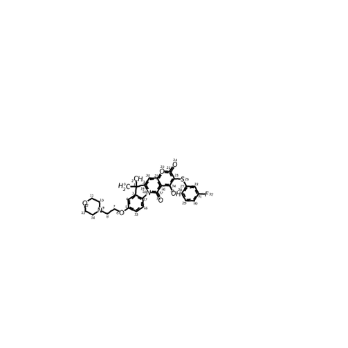 CC1(C)c2cc(OCCN3CCOCC3)ccc2-n2c1cc1oc(=O)c(Sc3cccc(F)c3)c(O)c1c2=O